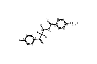 C=C(c1ccc(C)cc1)C(C)(C)C(C)OC(=O)c1ccc(C(=O)O)cc1